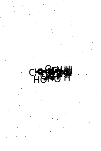 C[C@H]1[C@@H](NC(=Nc2ccc3c(=O)n(CCc4ccc(Cl)cc4Cl)c(NCCO)nc3c2)N2CC(O)C2)C[C@H]2C[C@H]1C2(C)C